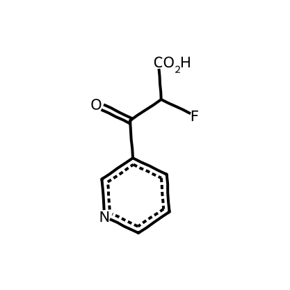 O=C(O)C(F)C(=O)c1cccnc1